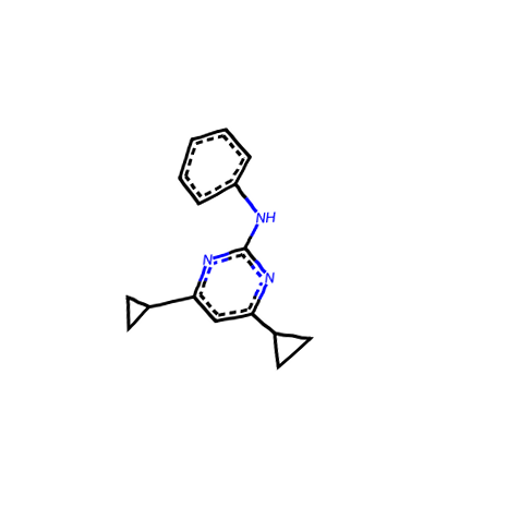 c1ccc(Nc2nc(C3CC3)cc(C3CC3)n2)cc1